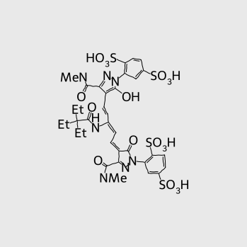 CCC(CC)(CC)C(=O)NC(=C\C=C1/C(=O)N(c2cc(S(=O)(=O)O)ccc2S(=O)(=O)O)N=C1C(=O)NC)/C=C/c1c(C(=O)NC)nn(-c2cc(S(=O)(=O)O)ccc2S(=O)(=O)O)c1O